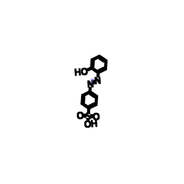 O=S(=O)(O)c1ccc(/N=N/c2ccccc2O)cc1